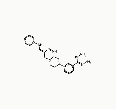 N=N/C(=C\Nc1ccccc1)CN1CCC(c2cccc(/C(=N/N)NN)c2)CC1